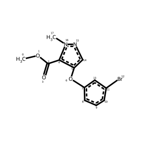 COC(=O)c1c(Oc2cccc(Br)c2)cnn1C